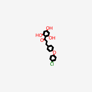 O=C(CCc1ccc(Oc2ccc(Cl)cc2)cc1)c1c(O)cc(O)cc1O